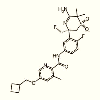 Cc1cc(OCC2CCC2)cnc1C(=O)Nc1ccc(F)c([C@]2(CF)CS(=O)(=O)C(C)(C)C(N)=N2)c1